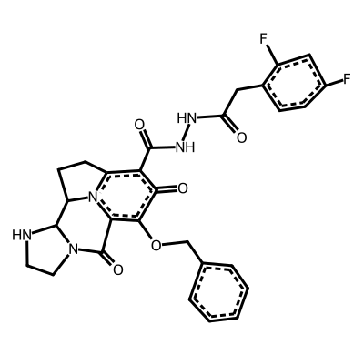 O=C(Cc1ccc(F)cc1F)NNC(=O)c1c2n3c(c(OCc4ccccc4)c1=O)C(=O)N1CCNC1C3CC2